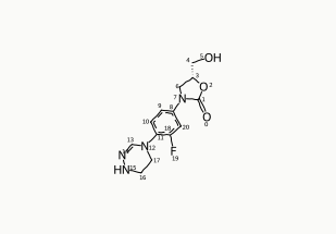 O=C1O[C@@H](CO)CN1c1ccc(N2C=NNCC2)c(F)c1